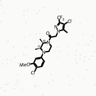 COc1cc(N2CCN(C(=O)Cn3nc(C(F)(F)F)c(Cl)c3C)[C@H](C)[C@@H]2C)ccc1Cl